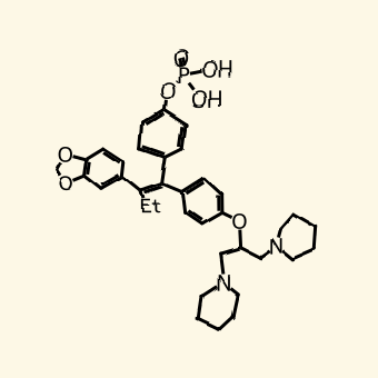 CCC(=C(c1ccc(OC(CN2CCCCC2)CN2CCCCC2)cc1)c1ccc(OP(=O)(O)O)cc1)c1ccc2c(c1)OCO2